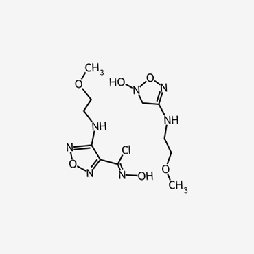 COCCNC1=NON(O)C1.COCCNc1nonc1C(Cl)=NO